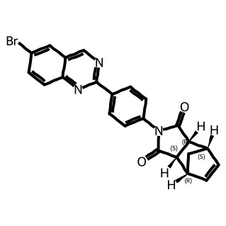 O=C1[C@@H]2[C@H](C(=O)N1c1ccc(-c3ncc4cc(Br)ccc4n3)cc1)[C@@H]1C=C[C@H]2C1